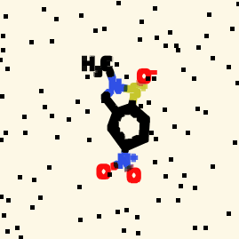 CN1Cc2cc([N+](=O)[O-])ccc2[S+]1[O-]